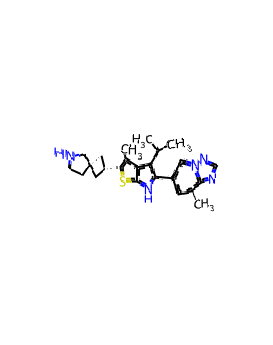 Cc1cc(-c2[nH]c3sc([C@H]4C[C@@]5(CCNC5)C4)c(C)c3c2C(C)C)cn2ncnc12